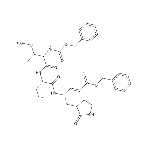 CC(C)C[C@H](NC(=O)[C@@H](NC(=O)OCc1ccccc1)C(C)OC(C)(C)C)C(=O)N[C@H](/C=C/C(=O)OCc1ccccc1)CC1CCNC1=O